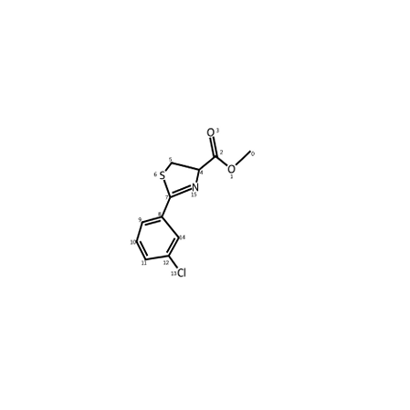 COC(=O)C1CSC(c2cccc(Cl)c2)=N1